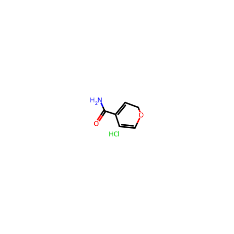 Cl.NC(=O)C1=CCOC=C1